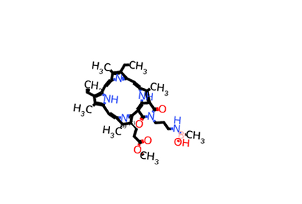 C=Cc1c(C)c2cc3nc(c4c5[nH]c(cc6nc(cc1[nH]2)C(C)=C6CC)c(C)c5C(=O)N(CCCNB(C)O)C4=O)[C@@H](CCC(=O)OC)[C@@H]3C